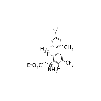 CCOC(=O)C[C@H](N)c1c(F)c(-c2c(C)cc(C3CC3)cc2C)cc(C(F)(F)F)c1F